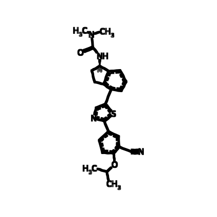 CC(C)Oc1ccc(-c2ncc(-c3cccc4c3CC[C@H]4NC(=O)N(C)C)s2)cc1C#N